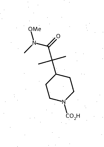 CON(C)C(=O)C(C)(C)C1CCN(C(=O)O)CC1